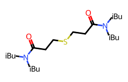 CCC(C)N(C(=O)CCSCCC(=O)N(C(C)CC)C(C)CC)C(C)CC